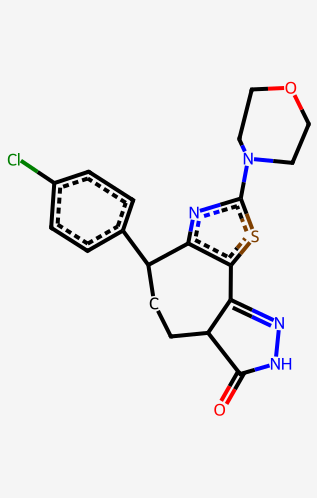 O=C1NN=C2c3sc(N4CCOCC4)nc3C(c3ccc(Cl)cc3)CCC12